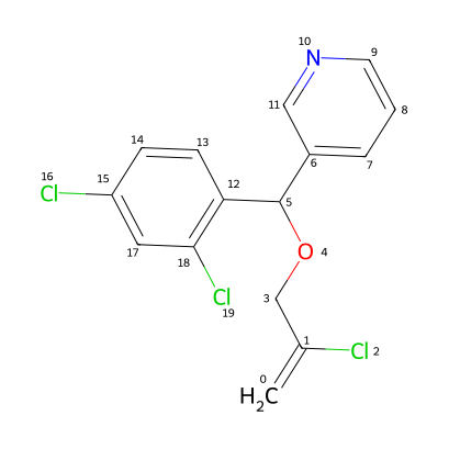 C=C(Cl)COC(c1cccnc1)c1ccc(Cl)cc1Cl